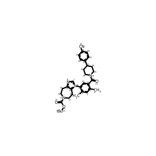 Cc1cc(C)c(-n2cnc3c2CCN(C(=O)OC(C)(C)C)CC3)cc1C(=O)N1CCC(c2ccc(C#N)cc2)CC1